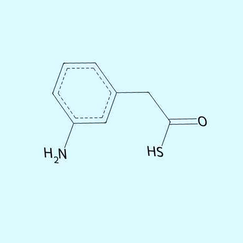 Nc1cccc(CC(=O)S)c1